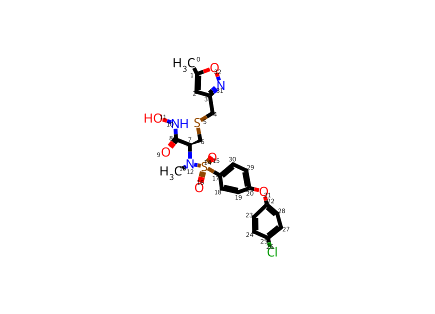 Cc1cc(CSC[C@H](C(=O)NO)N(C)S(=O)(=O)c2ccc(Oc3ccc(Cl)cc3)cc2)no1